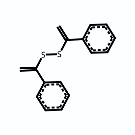 C=C(SSC(=C)c1ccccc1)c1ccccc1